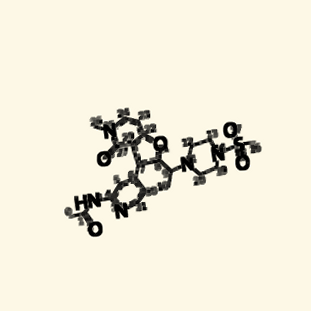 CC(=O)Nc1cc(-c2c(C(C)N3CCN(S(C)(=O)=O)CC3)oc3ccn(C)c(=O)c23)ccn1